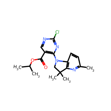 Cc1ccc2c(n1)C(C)(C)CN2c1nc(Cl)ncc1C(=O)OC(C)C